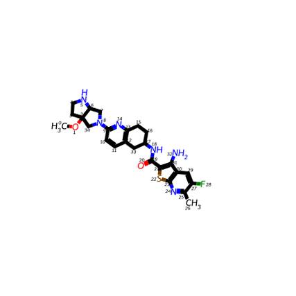 COC12CCNC1CN(c1ccc3c(n1)CCC(NC(=O)c1sc4nc(C)c(F)cc4c1N)C3)C2